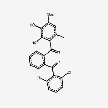 COc1cc(C)c(C(=O)c2ccccc2C(=O)c2c(Cl)cccc2Cl)c(O)c1O